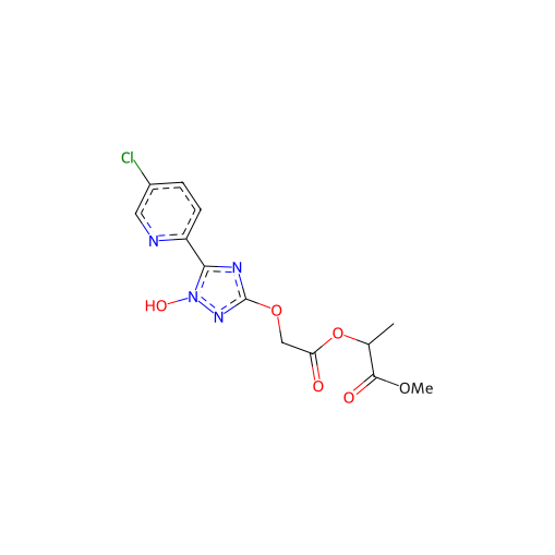 COC(=O)C(C)OC(=O)COc1nc(-c2ccc(Cl)cn2)n(O)n1